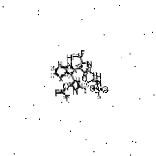 Cn1cc(-c2c(-c3c(C(F)F)nn4c3OC[C@@H](NS(C)(=O)=O)C4)[nH]c3ncccc23)c(OC(F)F)n1